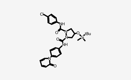 CC(C)(C)[Si](C)(C)OC1CN(C(=O)Nc2ccc(Cl)cc2)N(C(=O)Nc2ccc(-n3ccccc3=O)cc2)C1